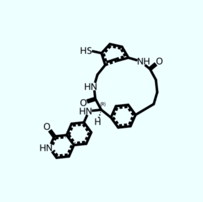 O=C1CCCc2ccc(cc2)[C@@H](Nc2ccc3cc[nH]c(=O)c3c2)C(=O)NCc2cc(ccc2S)N1